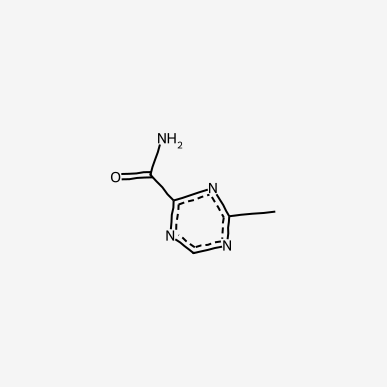 Cc1ncnc(C(N)=O)n1